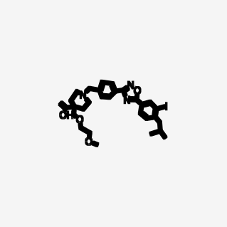 C=C(O)C1(COCCOC)CCN(Cc2ccc(-c3noc(-c4ccc(CC(C)C)c(I)c4)n3)cc2)CC1